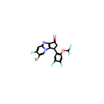 O=C1CC(c2cc(F)c(F)cc2OC(F)F)c2c1nc1cc(F)c(Br)cn21